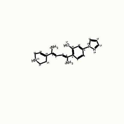 N/C(=C\C=C(/N)c1ccc(-n2cccn2)cc1O)C1=CCNCC1